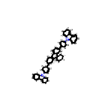 c1ccc2c(c1)c1ccccc1n2-c1ccc(-c2ccc3c(c2)C2(CCCCC2)c2cc(-c4ccc(-n5c6ccccc6c6ccccc65)cc4)ccc2-3)cc1